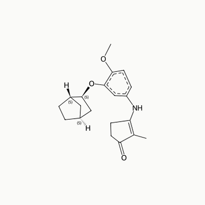 COc1ccc(NC2=C(C)C(=O)CC2)cc1O[C@H]1C[C@H]2CC[C@H]1C2